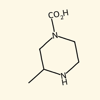 CC1CN(C(=O)O)CCN1